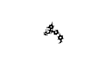 OC(Cn1cnnn1)(c1ccc(F)cc1F)C(F)(F)c1ccc(Oc2ccc(CI)cc2)cn1